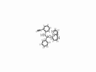 C#Cc1ccccc1NC(=O)c1ccccc1.c1cn2ncc3c2nc1-3